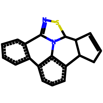 C1=CC2C(C1)c1cccc3c1N1C(=NSC21)c1ccccc1-3